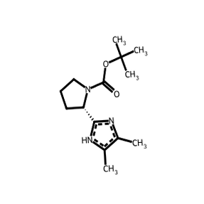 Cc1nc([C@@H]2CCCN2C(=O)OC(C)(C)C)[nH]c1C